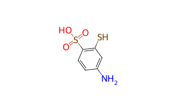 Nc1ccc(S(=O)(=O)O)c(S)c1